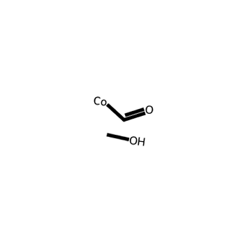 CO.O=[CH][Co]